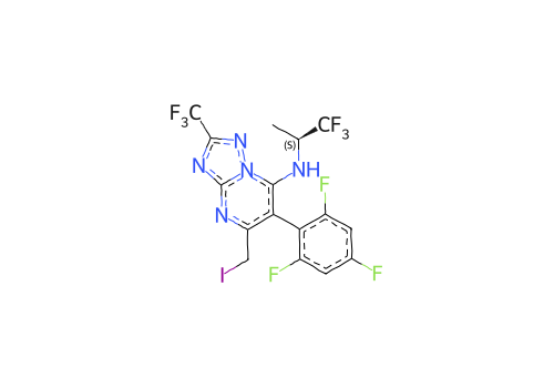 C[C@H](Nc1c(-c2c(F)cc(F)cc2F)c(CI)nc2nc(C(F)(F)F)nn12)C(F)(F)F